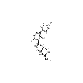 Cc1ccn(-c2ccc(F)cc2)c(=O)c1-c1ccc2nc(N)ncc2c1